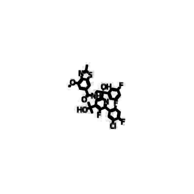 COc1cc(C(=O)NC[C@@](O)(c2cccc(F)c2)c2cc(C(C)(C)O)c(F)c(-c3cc(Cl)c(F)cc3F)n2)cc2sc(C)nc12